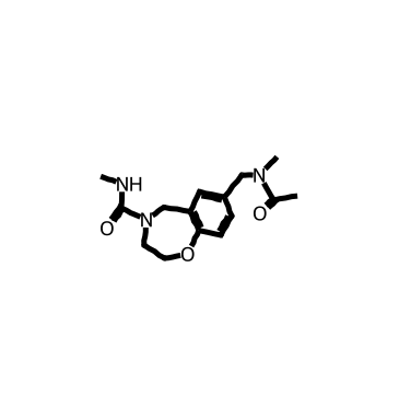 CNC(=O)N1CCOc2ccc(CN(C)C(C)=O)cc2C1